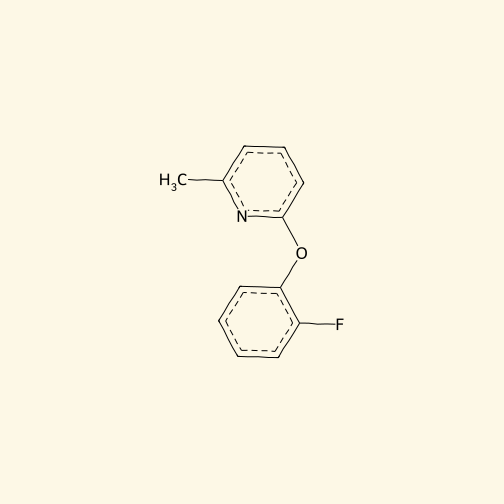 Cc1cccc(Oc2ccccc2F)n1